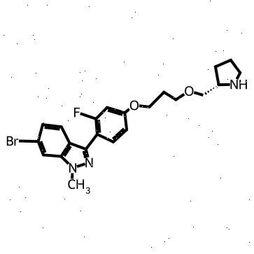 Cn1nc(-c2ccc(OCCCOC[C@@H]3CCCN3)cc2F)c2ccc(Br)cc21